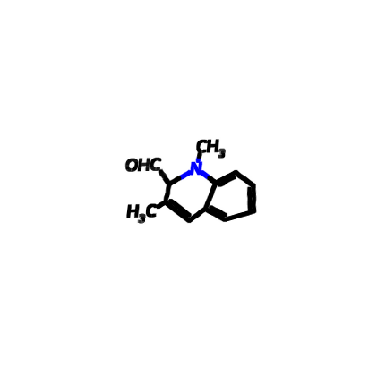 CC1=Cc2ccccc2N(C)C1C=O